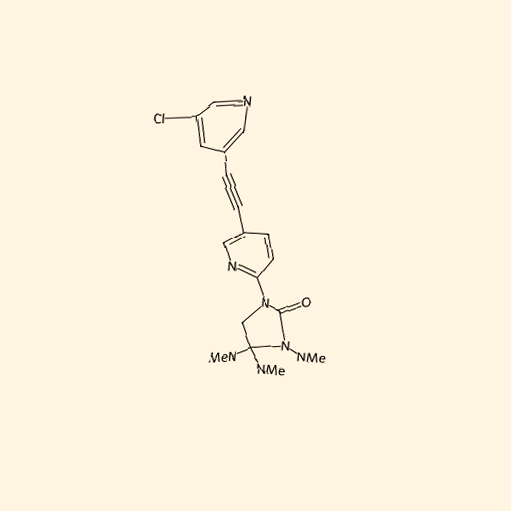 CNN1C(=O)N(c2ccc(C#Cc3cncc(Cl)c3)cn2)CC1(NC)NC